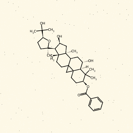 CC(C)(O)[C@@H]1CC[C@](C)([C@H]2[C@@H](O)C[C@@]3(C)C4C[C@H](O)[C@H]5C(C)(C)[C@@H](OC(=O)c6ccccc6)CCC56CC46CC[C@]23C)O1